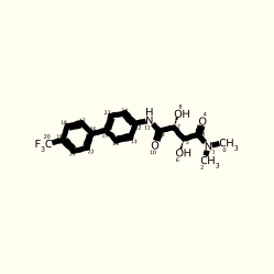 CN(C)C(=O)[C@H](O)[C@@H](O)C(=O)Nc1ccc(-c2ccc(C(F)(F)F)cc2)cc1